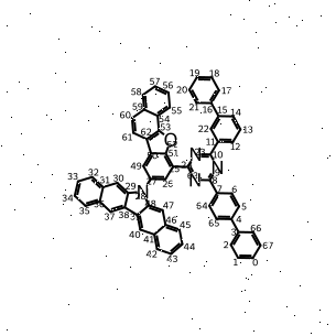 c1ccc(-c2ccc(-c3nc(-c4cccc(-c5ccccc5)c4)nc(-c4cc(-n5c6cc7ccccc7cc6c6cc7ccccc7cc65)cc5c4oc4c6ccccc6ccc54)n3)cc2)cc1